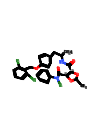 CC1O[C@@H](C(=O)NC(Cc2ccc(OCc3c(Cl)cccc3Cl)cc2)C(=O)O)[C@H](C(=O)N(Cl)c2ccccc2)O1